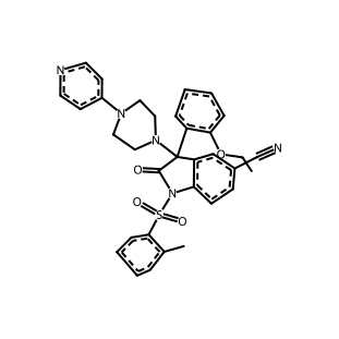 CCOc1ccccc1C1(N2CCN(c3ccncc3)CC2)C(=O)N(S(=O)(=O)c2ccccc2C)c2ccc(C#N)cc21